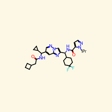 CC(C)n1nccc1C(=O)N[C@H](c1cn2ncc(C(NC(=O)CC3CCC3)C3CC3)cc2n1)C1CCC(F)(F)CC1